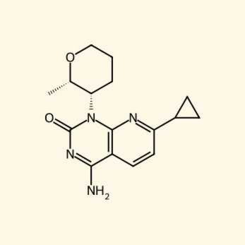 C[C@@H]1OCCC[C@@H]1n1c(=O)nc(N)c2ccc(C3CC3)nc21